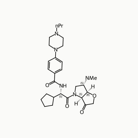 CCCN1CCN(c2ccc(C(=O)N[C@H](C(=O)N3C[C@H](NC)[C@H]4OCC(=O)[C@H]43)C3CCCC3)cc2)CC1